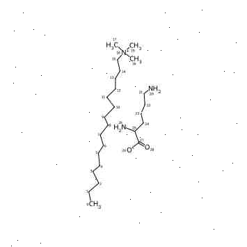 CCCCCCCCCCCCCCCC[N+](C)(C)C.NCCCCC(N)C(=O)[O-]